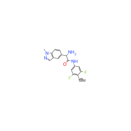 Cn1ncc2cc(C(N)C(=O)Nc3cc(F)c(C(C)(C)C)c(F)c3)ccc21